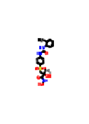 Cc1ccccc1NC(=O)Nc1ccc(S(=O)(=O)CC(C)(O)C(=O)NO)cc1